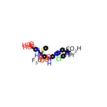 Cc1c(C(=O)O)c(-c2cccc(N3CCN(c4ccc(NS(=O)(=O)c5ccc(NC(CCN6CCC(COP(=O)(O)O)CC6)CSc6ccccc6)c(S(=O)(=O)C(F)(F)F)c5)cc4)CC3)c2)c(-c2ccc(Cl)cc2)n1C(C)C